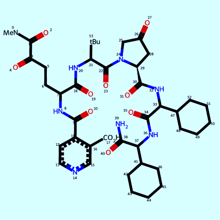 CNC(=O)C(=O)CCC(NC(=O)c1ccncc1C(=O)O)C(=O)NC(C(=O)N1CC(=O)C[C@H]1C(=O)NC(C(=O)NC(C(N)=O)C1CCCCC1)C1CCCCC1)C(C)(C)C